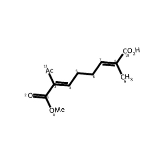 COC(=O)C(=CCCC=C(C)C(=O)O)C(C)=O